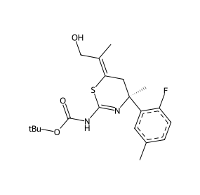 C/C(CO)=C1\C[C@@](C)(c2cc(C)ccc2F)N=C(NC(=O)OC(C)(C)C)S1